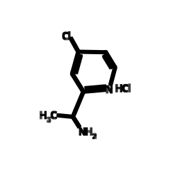 CC(N)c1cc(Cl)ccn1.Cl